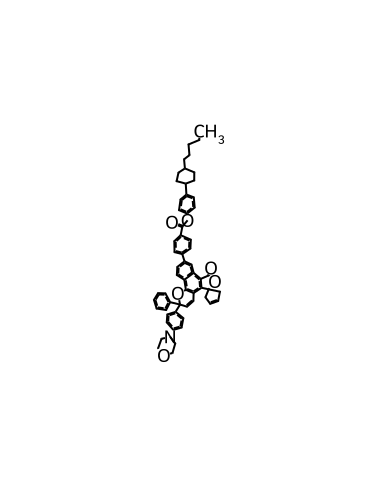 CCCCCC1CCC(c2ccc(OC(=O)c3ccc(-c4ccc5c6c(c7c(c5c4)C(=O)OC74CC=CC4)C=CC(c4ccccc4)(c4ccc(N5CCOCC5)cc4)O6)cc3)cc2)CC1